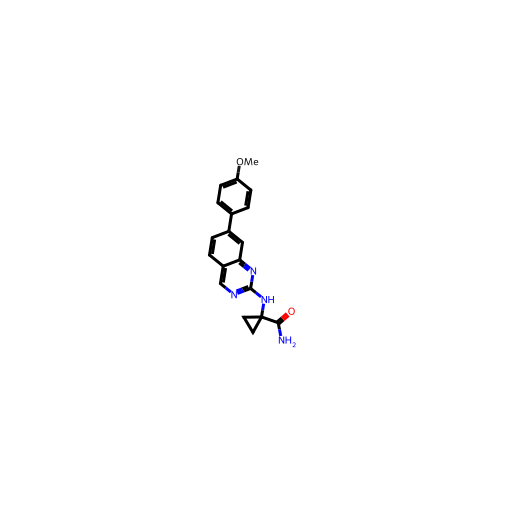 COc1ccc(-c2ccc3cnc(NC4(C(N)=O)CC4)nc3c2)cc1